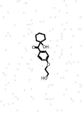 O=C(c1ccc(OCCO)cc1)C1(O)CCCCC1